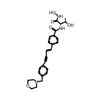 C[C@@H](O)[C@H](NC(=O)c1ccc(/C=C/C#Cc2ccc(CN3CCOCC3)cc2)cc1)C(=O)NO